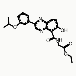 CCOC(=O)CNC(=O)c1c(O)ccc2nc(-c3cccc(OC(C)C)c3)cnc12